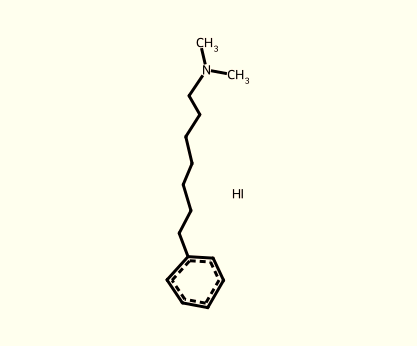 CN(C)CCCCCCCc1ccccc1.I